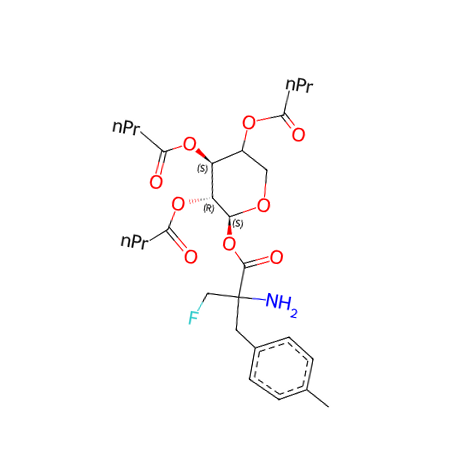 CCCC(=O)OC1CO[C@@H](OC(=O)C(N)(CF)Cc2ccc(C)cc2)[C@H](OC(=O)CCC)[C@H]1OC(=O)CCC